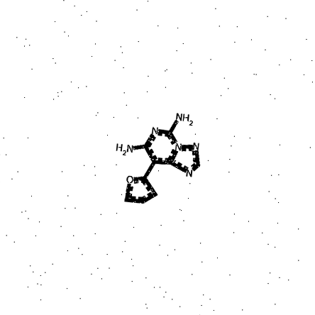 Nc1nc(N)n2ncnc2c1-c1ccco1